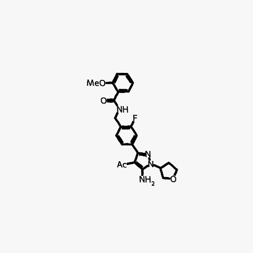 COc1ccccc1C(=O)NCc1ccc(-c2nn(C3CCOC3)c(N)c2C(C)=O)cc1F